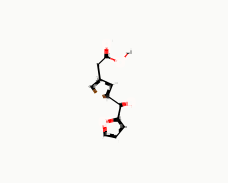 CC(C)OC(=O)Cc1csc(C(=O)c2ccco2)c1